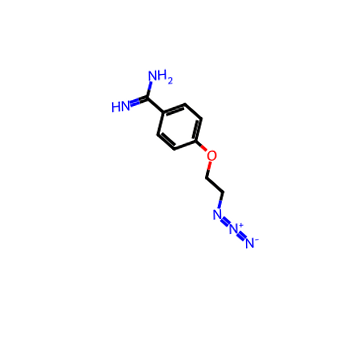 [N-]=[N+]=NCCOc1ccc(C(=N)N)cc1